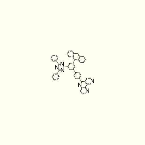 c1ccc(-c2nc(-c3ccccc3)nc(-c3cc(-c4ccc(-c5nc6cccnc6c6cnccc56)cc4)cc(-c4c5ccccc5cc5ccccc45)c3)n2)cc1